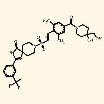 Cc1cc(C(=O)N2CCC(O)(CO)CC2)cc(C)c1/C=C/S(=O)(=O)N1CCC2(CC1)N=C(c1cccc(C(F)(F)F)c1)NC2=O